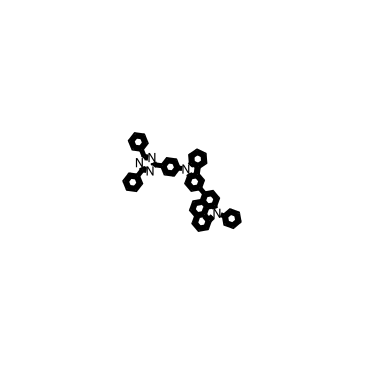 c1ccc(-c2nc(-c3ccccc3)nc(-c3ccc(-n4c5ccccc5c5cc(-c6ccc7c8c6ccc6cccc(c68)n7-c6ccccc6)ccc54)cc3)n2)cc1